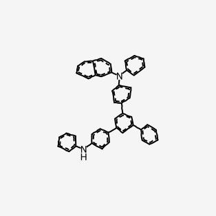 c1ccc(Nc2ccc(-c3cc(-c4ccccc4)cc(-c4ccc(N(c5ccccc5)c5ccc6ccccc6c5)cc4)c3)cc2)cc1